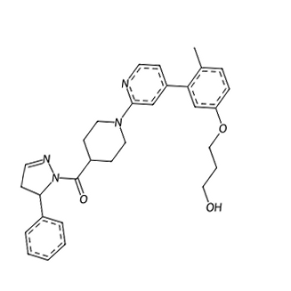 Cc1ccc(OCCCO)cc1-c1ccnc(N2CCC(C(=O)N3N=CCC3c3ccccc3)CC2)c1